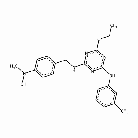 CN(C)c1ccc(CNc2nc(Nc3cccc(C(F)(F)F)c3)nc(OCC(F)(F)F)n2)cc1